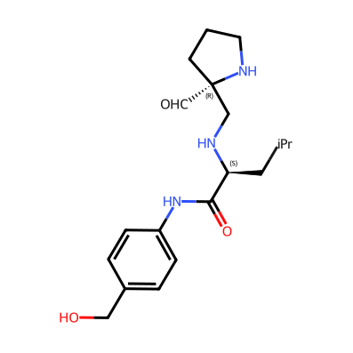 CC(C)C[C@H](NC[C@@]1(C=O)CCCN1)C(=O)Nc1ccc(CO)cc1